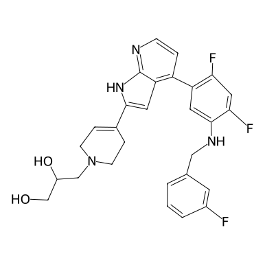 OCC(O)CN1CC=C(c2cc3c(-c4cc(NCc5cccc(F)c5)c(F)cc4F)ccnc3[nH]2)CC1